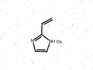 C=Cc1ncc[nH]1.[Os]